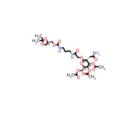 CC(=O)OC[C@H]1O[C@@H](OCC(=O)NCCCNC(=O)OC[C@H]2COC(C)(C)O2)[C@H](CC(N)=O)[C@@H](OC(C)=O)[C@H]1OC(C)=O